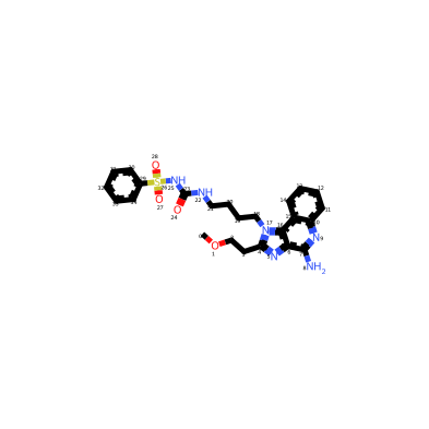 COCCc1nc2c(N)nc3ccccc3c2n1CCCCNC(=O)NS(=O)(=O)c1ccccc1